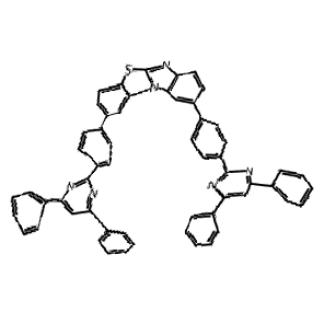 c1ccc(-c2cc(-c3ccccc3)nc(-c3ccc(-c4ccc5nc6sc7ccc(-c8ccc(-c9nc(-c%10ccccc%10)cc(-c%10ccccc%10)n9)cc8)cc7n6c5c4)cc3)n2)cc1